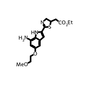 CCOC(=O)CC1CN=C(c2cc3cc(OCCOC)cc(N)c3[nH]2)S1